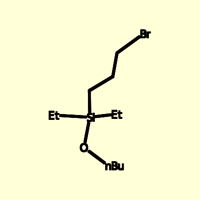 CCCCO[Si](CC)(CC)CCCBr